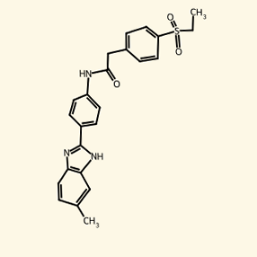 CCS(=O)(=O)c1ccc(CC(=O)Nc2ccc(-c3nc4ccc(C)cc4[nH]3)cc2)cc1